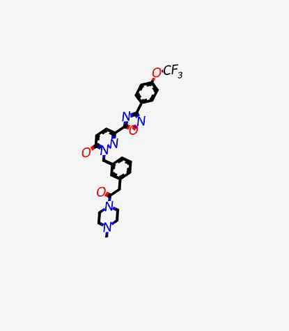 CN1CCN(C(=O)Cc2cccc(Cn3nc(-c4nc(-c5ccc(OC(F)(F)F)cc5)no4)ccc3=O)c2)CC1